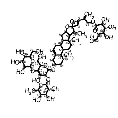 C=C(CCC1(O)OC2CC3C4CC=C5C[C@@H](OC6OC(CO)C(OC7OC(CO)C(O)[C@@H](O)[C@@H]7O)[C@@H](O)[C@@H]6OC6OC(C)C(O)[C@H](O)[C@@H]6O)CC[C@]5(C)C4CC[C@]3(C)C2[C@@H]1C)COC1OC(CO)C(O)[C@@H](O)[C@@H]1O